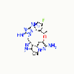 C[C@H]1Oc2cc(nnc2N)-c2c(nn(C)c2C#N)Cn2c(=N)nc(N)n2-c2ccc(F)cc21